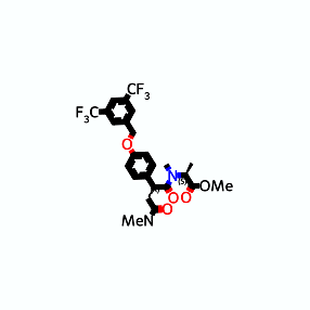 CNC(=O)C[C@@H](C(=O)N(C)[C@@H](C)C(=O)OC)c1ccc(OCc2cc(C(F)(F)F)cc(C(F)(F)F)c2)cc1